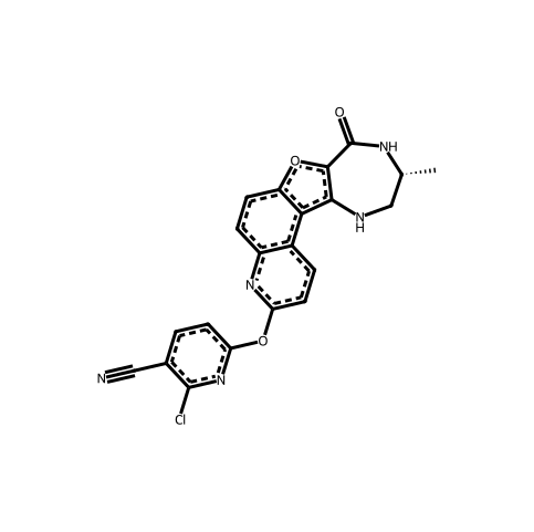 C[C@@H]1CNc2c(oc3ccc4nc(Oc5ccc(C#N)c(Cl)n5)ccc4c23)C(=O)N1